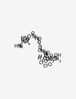 CC(C)(C)[C@@H](CS(=O)(=O)N1CCN(C(=O)COCCOCC(=O)N2CCN(C(=O)c3ccc(Nc4nc(C5CC5)cn5c(-c6cn[nH]c6)cnc45)c(F)c3)CC2)CC1)N1C(=O)[C@@](C)(CC(=O)O)C[C@H](c2cccc(Cl)c2)[C@H]1c1ccc(Cl)cc1